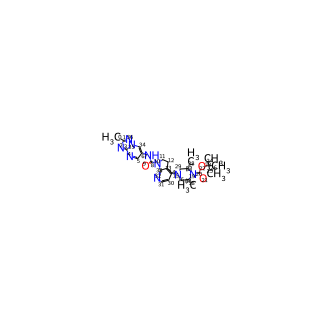 Cc1nc2ncc(NC(=O)N3CCc4c(N5C[C@@H](C)N(C(=O)OC(C)(C)C)[C@@H](C)C5)ccnc43)cn2n1